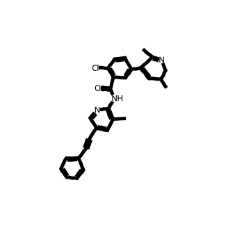 CC1=NCC(C)C=C1c1ccc(Cl)c(C(=O)Nc2ncc(C#Cc3ccccc3)cc2C)c1